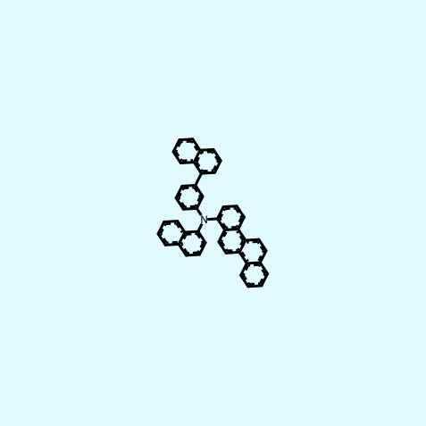 c1cc(-c2cccc3ccccc23)cc(N(c2cccc3ccccc23)c2cccc3c2ccc2c4ccccc4ccc32)c1